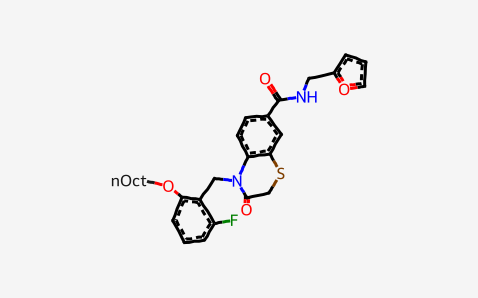 CCCCCCCCOc1cccc(F)c1CN1C(=O)CSc2cc(C(=O)NCc3ccco3)ccc21